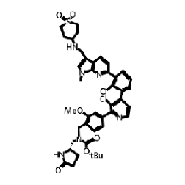 COc1cc(-c2nccc(-c3cccc(-c4ccc5c(CNC6CCS(=O)(=O)CC6)cn(C)c5n4)c3Cl)c2Cl)ccc1CN(C[C@@H]1CCC(=O)N1)C(=O)OC(C)(C)C